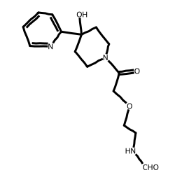 O=CNCCOCC(=O)N1CCC(O)(c2ccccn2)CC1